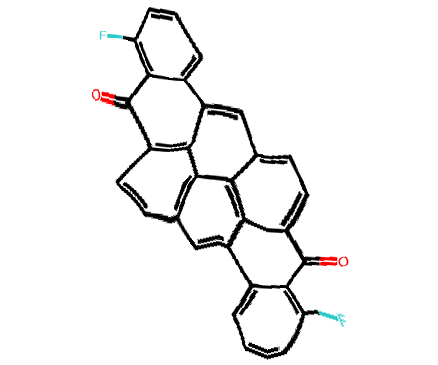 O=c1c2ccc3cc4c5cccc(F)c5c(=O)c5ccc6cc(c7cccc(F)c17)c2c3c6c54